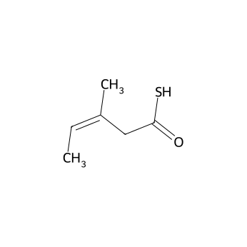 CC=C(C)CC(=O)S